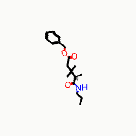 CCCNC(=O)[C@H](C)C(C)(C)CC(=O)OCc1ccccc1